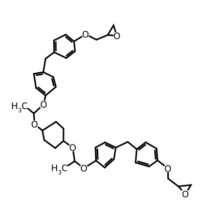 CC(Oc1ccc(Cc2ccc(OCC3CO3)cc2)cc1)OC1CCC(OC(C)Oc2ccc(Cc3ccc(OCC4CO4)cc3)cc2)CC1